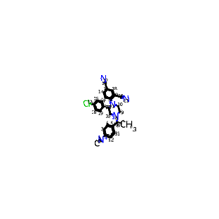 [C-]#[N+]c1ccc([C@H](C)N2CCN(c3ccc(C#N)cc3C#N)[C@H](c3ccc(Cl)cc3)C2)cc1